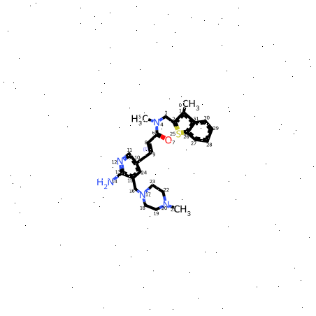 Cc1c(CN(C)C(=O)/C=C/c2cnc(N)c(CN3CCN(C)CC3)c2)sc2ccccc12